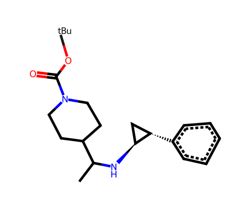 CC(N[C@H]1C[C@@H]1c1ccccc1)C1CCN(C(=O)OC(C)(C)C)CC1